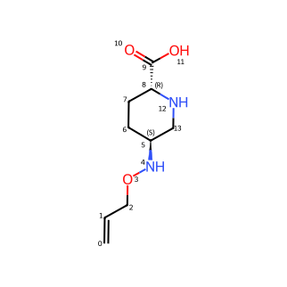 C=CCON[C@H]1CC[C@H](C(=O)O)NC1